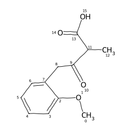 COc1ccccc1CC(=O)C(C)C(=O)O